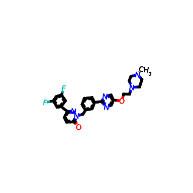 CN1CCN(CCOc2cnc(-c3cccc(Cn4nc(-c5cc(F)cc(F)c5)ccc4=O)c3)nc2)CC1